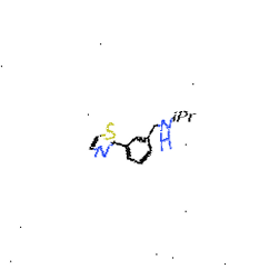 CC(C)NCc1cccc(-c2nccs2)c1